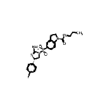 CCCNC(=O)N1CCc2cc(S(=O)(=O)N3C[C@H](c4ccc(F)cc4)N=C3N)ccc21